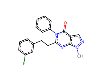 Cn1ncc2c(=O)n(-c3ccccc3)c(CCc3cccc(F)c3)nc21